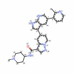 Cc1ncccc1-c1cnc2[nH]cc(-c3ccn4ncc(C(=O)NC5CCN(C)CC5)c4c3)c2c1